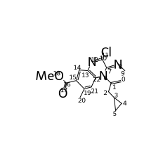 C=C(CC1CC1)n1/c(=N\C)c(Cl)nc2cc(C(=O)OC)c(C)cc21